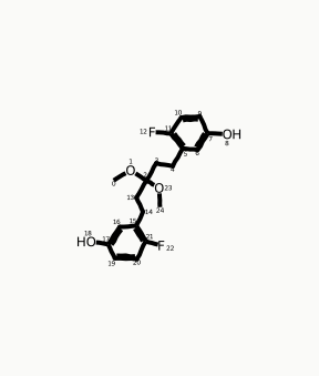 COC(CCc1cc(O)ccc1F)(CCc1cc(O)ccc1F)OC